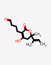 CC=C(C)C1(C)CC(O)=C(CCCC=O)C(=O)O1